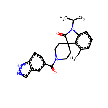 C[C](N1C(=O)C2(CCN(C(=O)c3ccc4[nH]ncc4c3)CC2)c2c(C)cccc21)C(F)(F)F